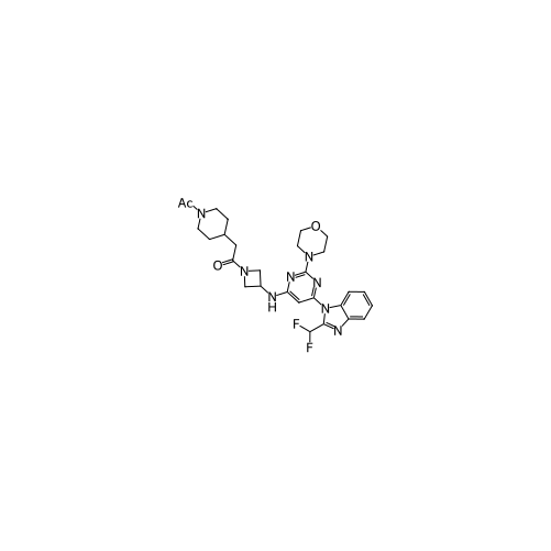 CC(=O)N1CCC(CC(=O)N2CC(Nc3cc(-n4c(C(F)F)nc5ccccc54)nc(N4CCOCC4)n3)C2)CC1